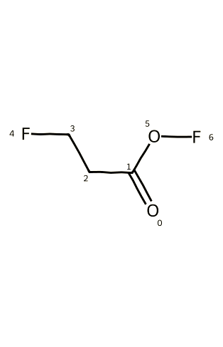 O=C(CCF)OF